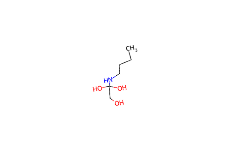 CCCCNC(O)(O)CO